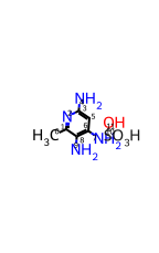 Cc1nc(N)cc(N)c1N.O=S(=O)(O)O